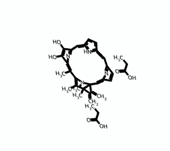 C=CC1(C)C(C)=C2C(C)=C3N=C(C=c4ccc([nH]4)=CC4=NC(=CC1(C=C)N2C)C=C4)C(O)=C3O.CCC(=O)O.CCC(=O)O